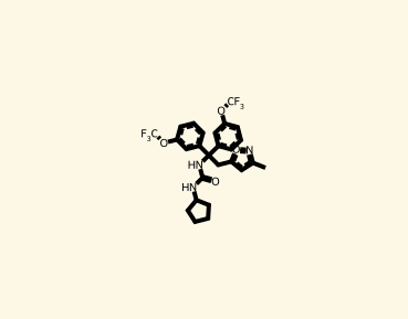 Cc1cc(CC(NC(=O)NC2CCCC2)(c2cccc(OC(F)(F)F)c2)c2cccc(OC(F)(F)F)c2)on1